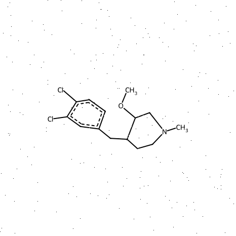 COC1CN(C)CCC1Cc1ccc(Cl)c(Cl)c1